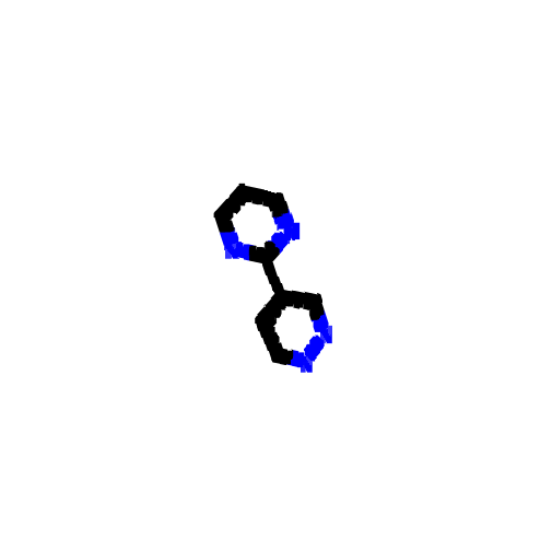 [c]1cnc(-c2ccnnc2)nc1